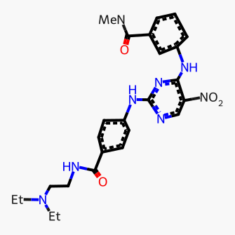 CCN(CC)CCNC(=O)c1ccc(Nc2ncc([N+](=O)[O-])c(Nc3cccc(C(=O)NC)c3)n2)cc1